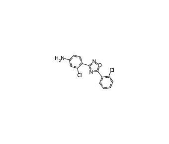 Nc1ccc(-c2noc(-c3ccccc3Cl)n2)c(Cl)c1